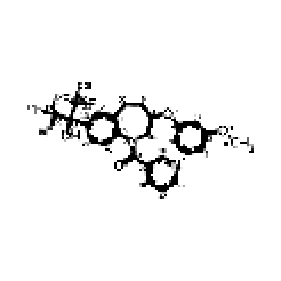 COc1cccc(OC2CCc3cc(C(O)(C(F)(F)F)C(F)(F)F)ccc3N(C(=O)c3cccnc3)C2)c1